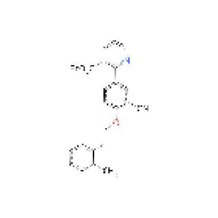 CCOC(=O)c1cccnc1-c1ccc(OCCc2ccccc2C)c(C#N)c1